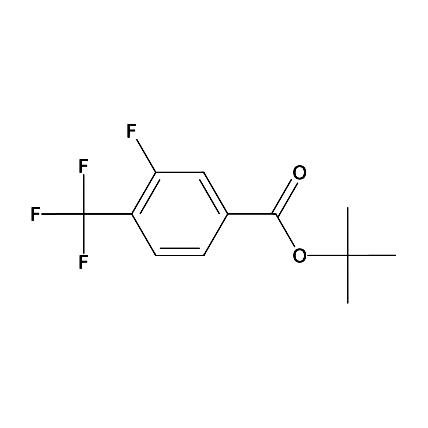 CC(C)(C)OC(=O)c1ccc(C(F)(F)F)c(F)c1